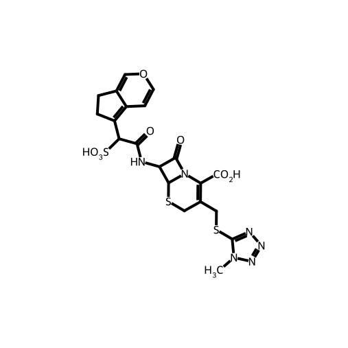 Cn1nnnc1SCC1=C(C(=O)O)N2C(=O)C(NC(=O)C(C3=C4C=COC=C4CC3)S(=O)(=O)O)C2SC1